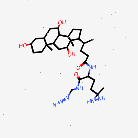 CC(CCC(=O)NC(CCC1(C)NN1)C(=O)NCN=[N+]=[N-])C1CCC2C3C(O)CC4CC(O)CCC4(C)C3CC(O)C12C